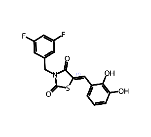 O=C1S/C(=C\c2cccc(O)c2O)C(=O)N1Cc1cc(F)cc(F)c1